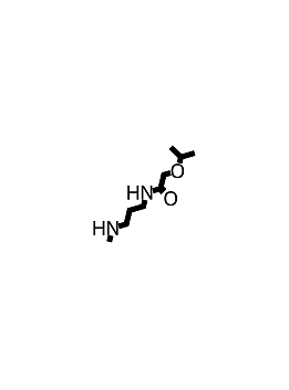 CNCCCNC(=O)COC(C)C